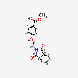 COC(=O)c1ccc(OCCN2C(=O)c3ccccc3C2=O)cc1